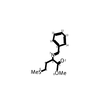 COC(=O)C(CCSC)N=Cc1ccccc1